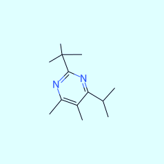 Cc1nc(C(C)(C)C)nc(C(C)C)c1C